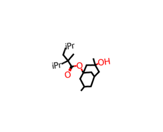 CC(C)CC(C)(C(=O)OC12CC(C)CC(CC(C)(O)C1)C2)C(C)C